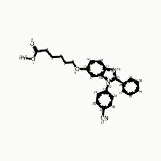 CC(C)OC(=O)CCCCCOc1ccc2nc(-c3ccccc3)n(-c3ccc(C#N)cc3)c2c1